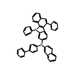 c1ccc(-c2ccc(N(c3ccc4ccccc4c3)c3ccc4c5c(-c6ccccc6)cc6ccccc6c5n(-c5ccccc5)c4c3)cc2)cc1